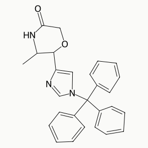 CC1NC(=O)COC1c1cn(C(c2ccccc2)(c2ccccc2)c2ccccc2)cn1